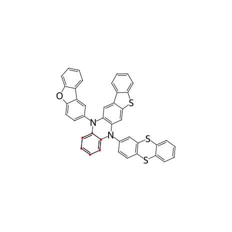 c1ccc(N(c2ccc3c(c2)Sc2ccccc2S3)c2cc3sc4ccccc4c3cc2N(c2ccccc2)c2ccc3oc4ccccc4c3c2)cc1